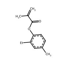 C=C(C)C(=O)Oc1ccc(C)cc1CC